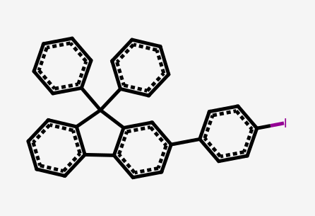 Ic1ccc(-c2ccc3c(c2)C(c2ccccc2)(c2ccccc2)c2ccccc2-3)cc1